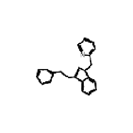 C1=C(CCc2ccccc2)c2ccccc2C1Cc1ccccn1